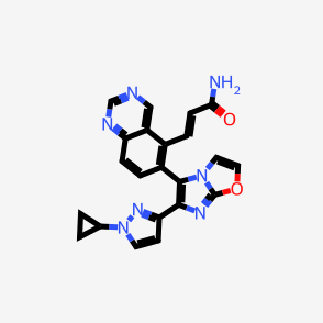 NC(=O)/C=C/c1c(-c2c(-c3ccn(C4CC4)n3)nc3occn23)ccc2ncncc12